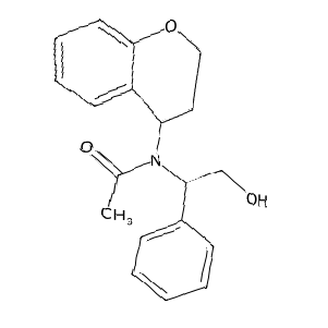 CC(=O)N(C(CO)c1ccccc1)C1CCOc2ccccc21